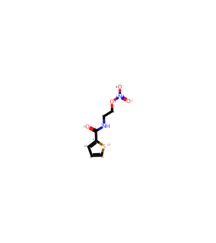 O=C(NCCO[N+](=O)[O-])c1cccs1